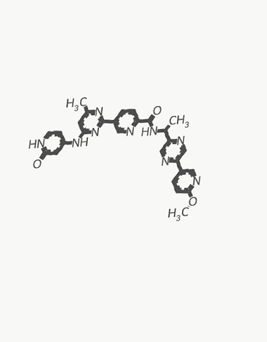 COc1ccc(-c2cnc(C(C)NC(=O)c3ccc(-c4nc(C)cc(Nc5cc[nH]c(=O)c5)n4)cn3)cn2)cn1